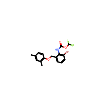 Cc1ccc(OCc2cccc(Br)c2NC(=O)OC(F)F)c(C)c1